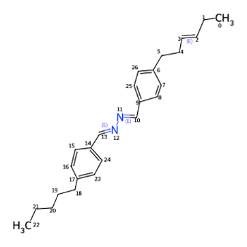 CC/C=C/CCc1ccc(/C=N/N=C/c2ccc(CCCCC)cc2)cc1